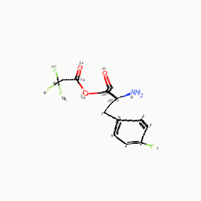 N[C@@H](Cc1ccc(F)cc1)C(=O)OC(=O)C(F)(F)F